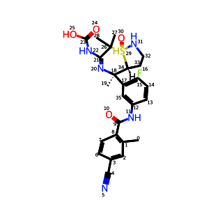 Cc1cc(C#N)ccc1C(=O)Nc1ccc(F)c([C@@]2(C)N=C(NC(=O)O)C(C)(C)[SH]3(=O)NCC[C@@H]23)c1